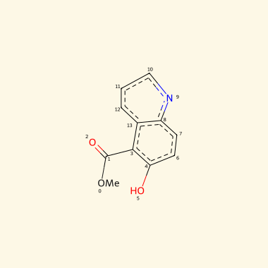 COC(=O)c1c(O)ccc2ncccc12